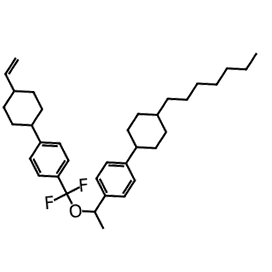 C=CC1CCC(c2ccc(C(F)(F)OC(C)c3ccc(C4CCC(CCCCCCC)CC4)cc3)cc2)CC1